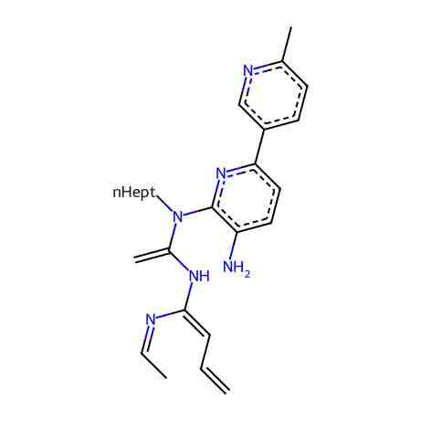 C=C/C=C(\N=C/C)NC(=C)N(CCCCCCC)c1nc(-c2ccc(C)nc2)ccc1N